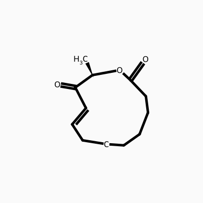 C[C@H]1OC(=O)CCCCCC/C=C/C1=O